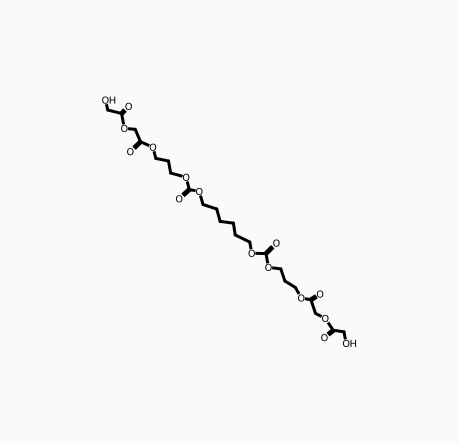 O=C(CO)OCC(=O)OCCCOC(=O)OCCCCCCOC(=O)OCCCOC(=O)COC(=O)CO